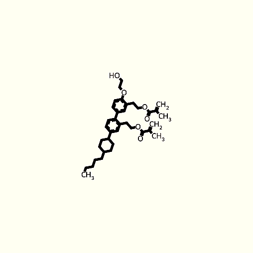 C=C(C)C(=O)OCCc1cc(-c2ccc(C3CCC(CCCCC)CC3)cc2CCOC(=O)C(=C)C)ccc1OCCO